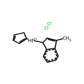 CC1=C[CH]([Hf+2][C]2=CC=CC2)c2ccccc21.[Cl-].[Cl-]